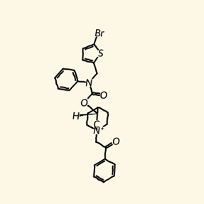 O=C(C[N+]12CCC(CC1)[C@@H](OC(=O)N(Cc1ccc(Br)s1)c1ccccc1)C2)c1ccccc1